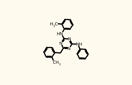 Cc1ccccc1Cc1nc(Nc2ccccc2)nc(Nc2ccccc2C)n1